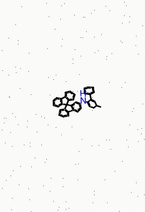 CC1C=C(c2ccccc2)C(Nc2ccc3c(c2)C2(c4ccccc4-c4ccccc42)c2ccccc2-3)=CC1